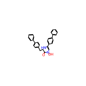 O=C1C(Cc2ccc(-c3ccccc3)cc2)NC(c2ccc(-c3ccccc3)cc2)=CN1O